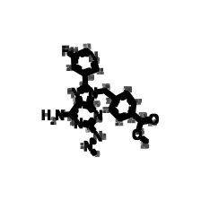 CN=Nc1nc(N)c2nc(-c3cncc(F)c3)n(Cc3ccc(C(=O)OC)cc3)c2n1